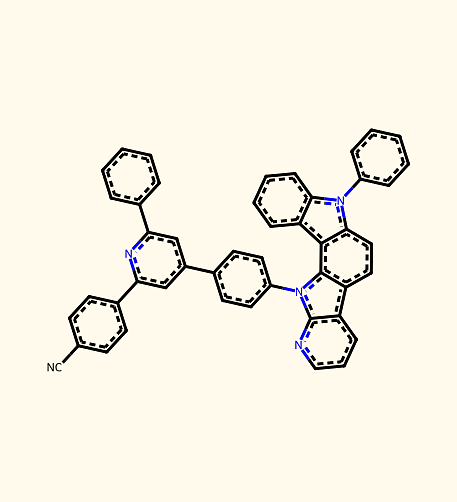 N#Cc1ccc(-c2cc(-c3ccc(-n4c5ncccc5c5ccc6c(c7ccccc7n6-c6ccccc6)c54)cc3)cc(-c3ccccc3)n2)cc1